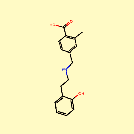 Cc1cc(CNCCc2ccccc2O)ccc1C(=O)O